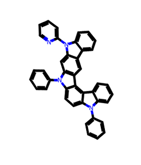 c1ccc(-n2c3ccccc3c3c4c5cc6c7ccccc7n(-c7ccccn7)c6cc5n(-c5ccccc5)c4ccc32)cc1